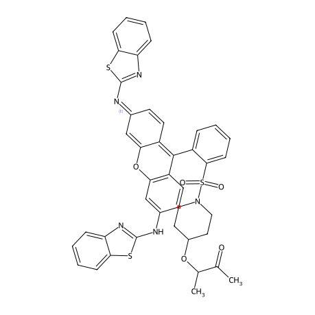 CC(=O)C(C)OC1CCN(S(=O)(=O)c2ccccc2-c2c3cc/c(=N\c4nc5ccccc5s4)cc-3oc3cc(Nc4nc5ccccc5s4)ccc23)CC1